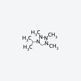 CC(C)N1CN(C)N(C)N1C